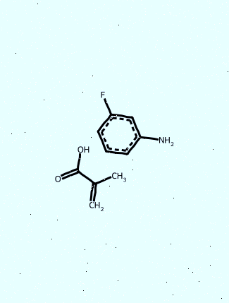 C=C(C)C(=O)O.Nc1cccc(F)c1